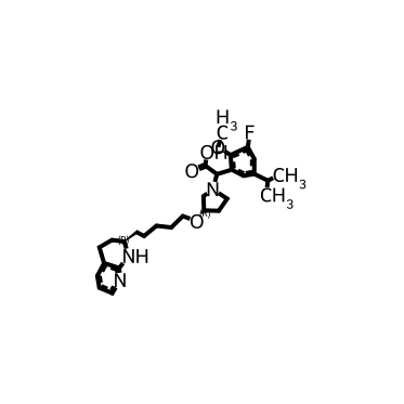 COc1c(F)cc(C(C)C)cc1C(C(=O)O)N1CC[C@@H](OCCCCC[C@@H]2CCc3cccnc3N2)C1